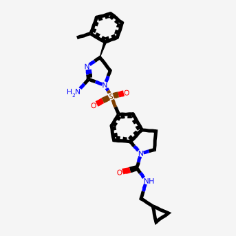 Cc1ccccc1[C@H]1CN(S(=O)(=O)c2ccc3c(c2)CCN3C(=O)NCC2CC2)C(N)=N1